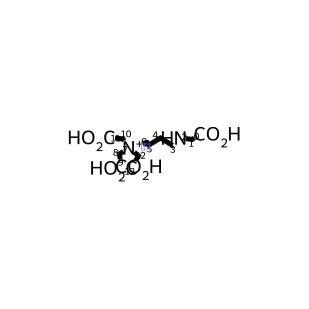 O=C(O)CNCC/C=C/[N+](CC(=O)O)(CC(=O)O)CC(=O)O